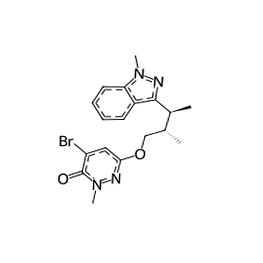 C[C@H](COc1cc(Br)c(=O)n(C)n1)[C@H](C)c1nn(C)c2ccccc12